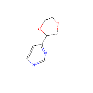 [c]1nccc(C2COCCO2)n1